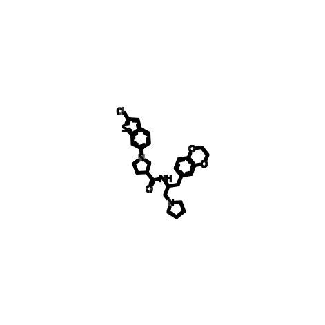 O=C(NC(Cc1ccc2c(c1)OCCO2)CN1CCCC1)C1CCN(c2ccc3cc(Cl)sc3c2)C1